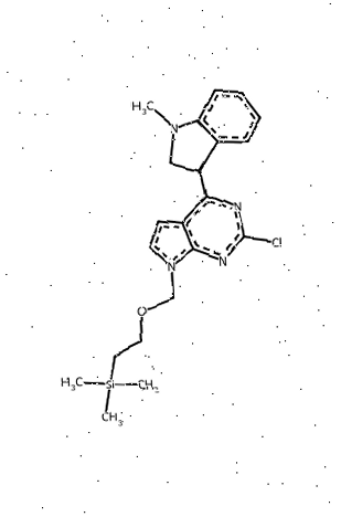 CN1CC(c2nc(Cl)nc3c2ccn3COCC[Si](C)(C)C)c2ccccc21